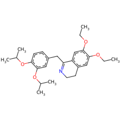 CCOc1cc2c(cc1OCC)C(Cc1ccc(OC(C)C)c(OC(C)C)c1)=NCC2